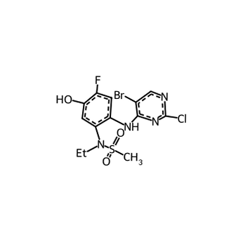 CCN(c1cc(O)c(F)cc1Nc1nc(Cl)ncc1Br)S(C)(=O)=O